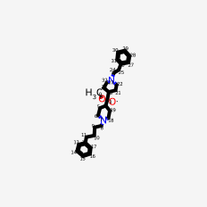 COC([O])(C1CCN(CCCCc2ccccc2)CC1)C1CCN(CCc2ccccc2)CC1